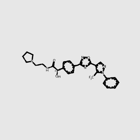 O=C(NCCN1CCCC1)[C@H](O)c1ccc(-c2noc(-c3cnn(-c4ccccc4)c3C(F)(F)F)n2)cc1